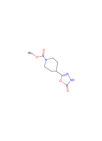 CC(C)(C)OC(=O)N1CCC(c2n[nH]c(=O)o2)CC1